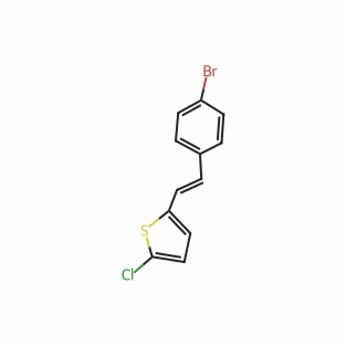 Clc1ccc(/C=C/c2ccc(Br)cc2)s1